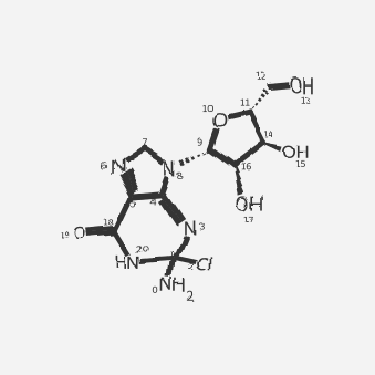 NC1(Cl)N=C2C(=NCN2[C@@H]2O[C@H](CO)[C@@H](O)[C@H]2O)C(=O)N1